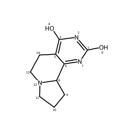 Oc1nc(O)c2c(n1)C1CCCN1CC2